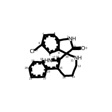 O=C1Nc2ccc(Cl)cc2C12NCCCc1c2[nH]c2ccccc12